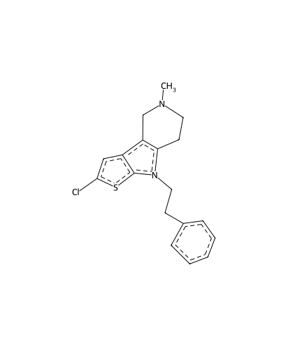 CN1CCc2c(c3cc(Cl)sc3n2CCc2ccccc2)C1